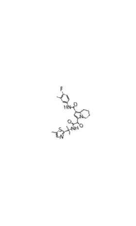 Cc1cnc(C(C)(C)NC(=O)C(=O)c2cc(C(=O)Nc3ccc(F)c(C)c3)c3n2CCCC3)s1